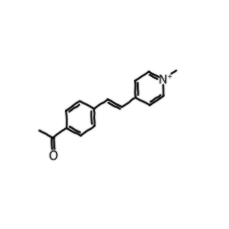 CC(=O)c1ccc(C=Cc2cc[n+](C)cc2)cc1